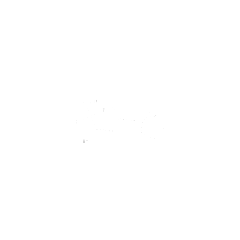 CC(C)C(OC(=O)C1CC2CCC1O2)C(F)(F)C(=O)O